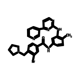 Cc1ccc(NC(=O)c2ccc(CN3CCCC3)c(Br)c2)cc1Nc1nccc(-c2cccnc2)n1